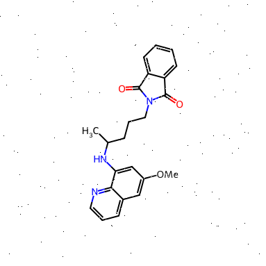 COc1cc(NC(C)CCCN2C(=O)c3ccccc3C2=O)c2ncccc2c1